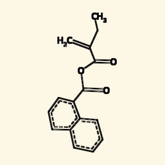 C=C(CC)C(=O)OC(=O)c1cccc2ccccc12